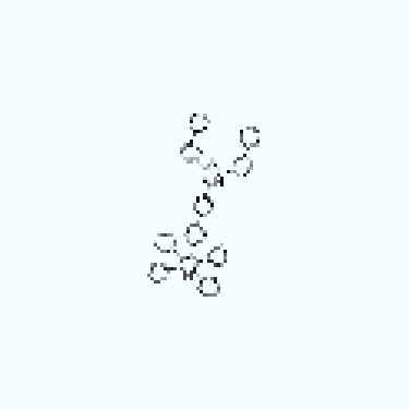 c1ccc(-c2cccc(-c3cc(-c4ccc(-c5ccc(-c6c(-c7ccccc7)c(-c7ccccc7)nc(-c7ccccc7)c6-c6ccccc6)cc5)cc4)nc(-c4cccc(-c5ccccc5)c4)n3)c2)cc1